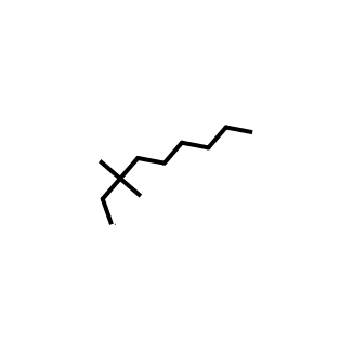 [CH2]CC(C)(C)CCCCCC